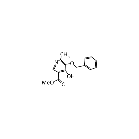 COC(=O)c1cnc(C)c(OCc2ccccc2)c1O